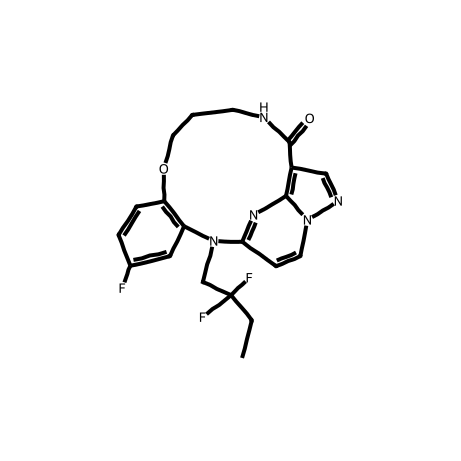 CCC(F)(F)CN1c2ccn3ncc(c3n2)C(=O)NCCCOc2ccc(F)cc21